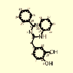 N=C(/N=C(/Cc1ccc(O)c(O)c1)Nc1ccccc1)c1ccccc1